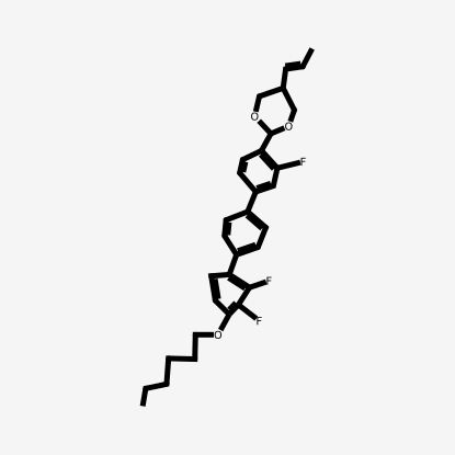 C/C=C/C1COC(c2ccc(-c3ccc(-c4ccc(OCCCCCC)c(F)c4F)cc3)cc2F)OC1